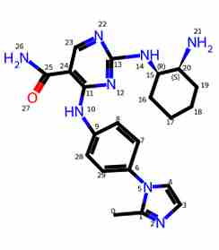 Cc1nccn1-c1ccc(Nc2nc(N[C@@H]3CCCC[C@@H]3N)ncc2C(N)=O)cc1